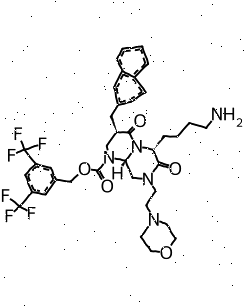 NCCCC[C@H]1C(=O)N(CCN2CCOCC2)C[C@@H]2N(C(=O)OCc3cc(C(F)(F)F)cc(C(F)(F)F)c3)C[C@@H](Cc3ccc4ccccc4c3)C(=O)N21